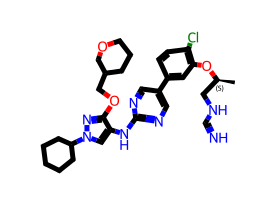 C[C@@H](CNC=N)Oc1cc(-c2cnc(Nc3cn(C4CCCCC4)nc3OCC3CCCOC3)nc2)ccc1Cl